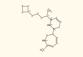 CC1=CC=CC(N2CC=CN(C(C)CCCC3CCC3)N2)CN1